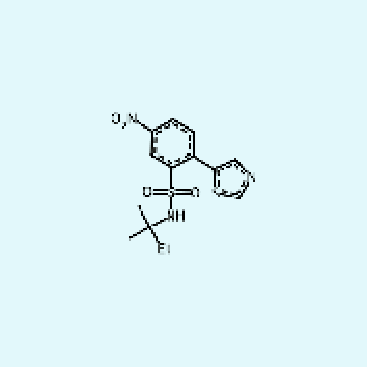 CCC(C)(C)NS(=O)(=O)c1cc([N+](=O)[O-])ccc1-c1cncs1